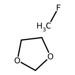 C1COCO1.CF